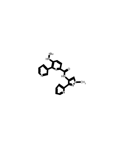 Cn1cc(NC(=O)c2ccc(NC(C)(C)C)c(-c3cccnc3)n2)c(-c2ccccn2)n1